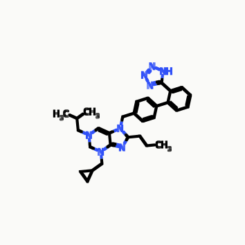 CCCC1N=C2C(=CN(CC(C)C)CN2CC2CC2)N1Cc1ccc(-c2ccccc2-c2nnn[nH]2)cc1